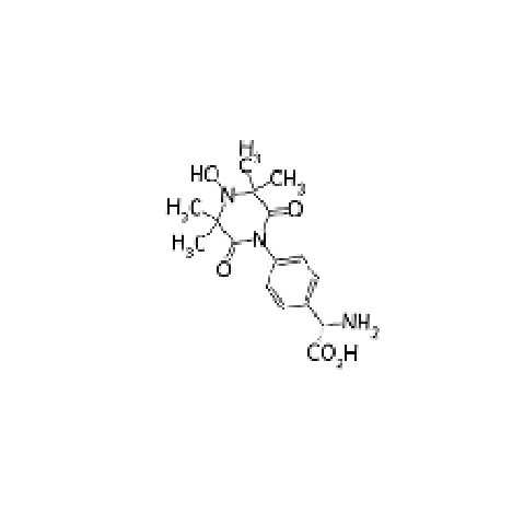 CC1(C)C(=O)N(c2ccc([C@H](N)C(=O)O)cc2)C(=O)C(C)(C)N1O